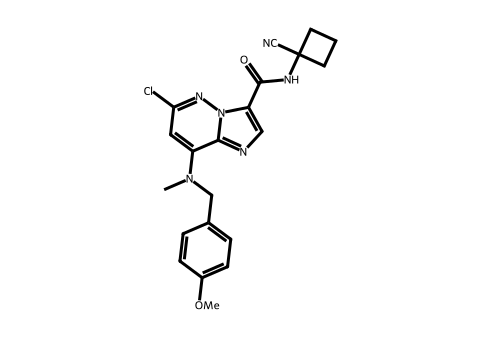 COc1ccc(CN(C)c2cc(Cl)nn3c(C(=O)NC4(C#N)CCC4)cnc23)cc1